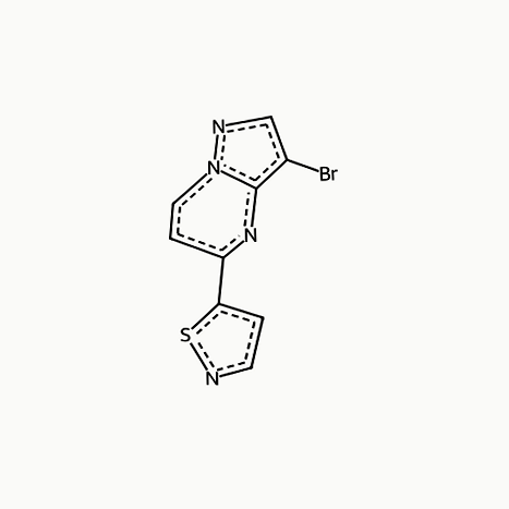 Brc1cnn2ccc(-c3ccns3)nc12